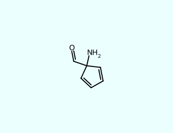 NC1(C=O)C=CC=C1